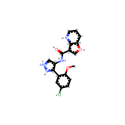 COc1ccc(Cl)cc1-c1n[nH]cc1NC(=O)c1coc2cccnc12